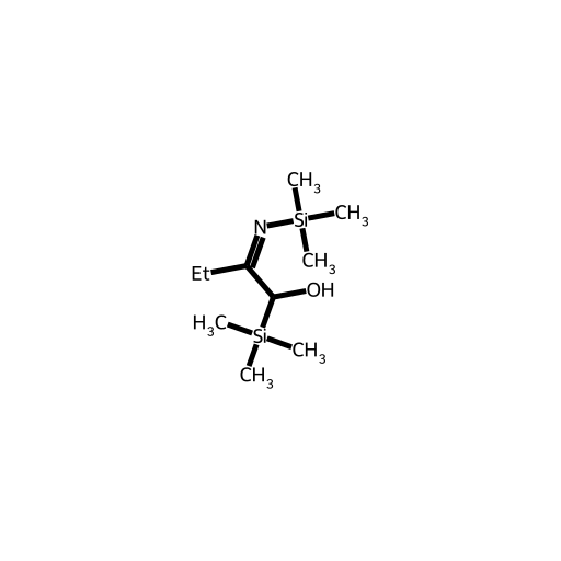 CCC(=N[Si](C)(C)C)C(O)[Si](C)(C)C